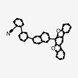 N#Cc1ccccc1-c1cccc(-c2ccc3cc(-c4c5oc6ccccc6c5cc5c4oc4ccccc45)ccc3c2)c1